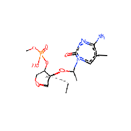 CC[C@]1(OC(C)n2cc(C)c(N)nc2=O)COCC1OP(=O)(O)OC